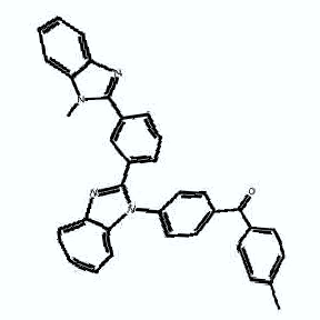 Cc1ccc(C(=O)c2ccc(-n3c(-c4cccc(-c5nc6ccccc6n5C)c4)nc4ccccc43)cc2)cc1